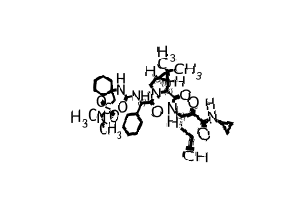 C#CCC[C@H](NC(=O)[C@@H]1[C@@H]2[C@H](CN1C(=O)[C@@H](NC(=O)NC1(CS(=O)(=O)N(C)C)CCCCC1)C1CCCCC1)C2(C)C)C(=O)C(=O)NC1CC1